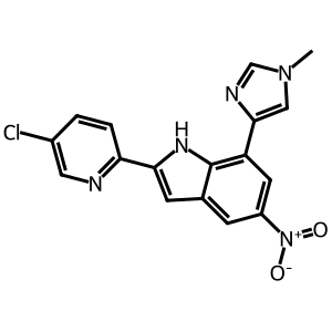 Cn1cnc(-c2cc([N+](=O)[O-])cc3cc(-c4ccc(Cl)cn4)[nH]c23)c1